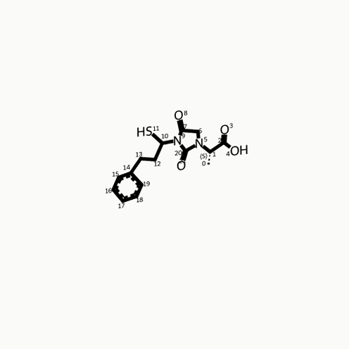 C[C@@H](C(=O)O)N1CC(=O)N(C(S)CCc2ccccc2)C1=O